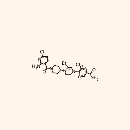 CC[C@H]1CN(c2ncc(C(N)=O)nc2C(F)(F)F)CCN1C1CCN(C(=O)c2ccc(Cl)nc2N)CC1